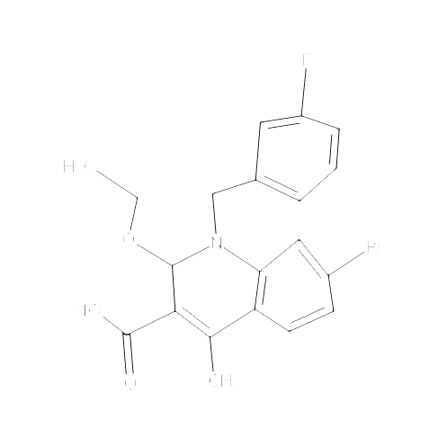 CCOC1C(C(=O)O)=C(C)c2ccc(Br)cc2N1Cc1cccc(F)c1